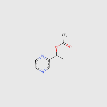 CC(OC(=O)C(F)(F)F)c1cnccn1